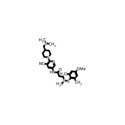 COc1cc(C)c(SN(C)CCC(=O)Nc2cnc(N3CCC(CN(C)C)CC3)c(C#N)c2)c(C)c1